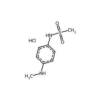 CNc1ccc(NS(C)(=O)=O)cc1.Cl